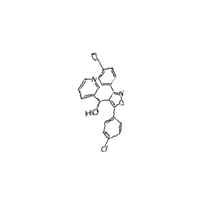 OC(c1cccnc1)c1c(-c2ccc(Cl)cc2)noc1-c1ccc(Cl)cc1